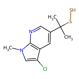 Cn1cc(Cl)c2cc(C(C)(C)SS)cnc21